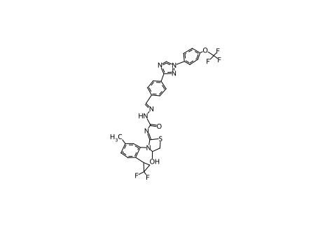 Cc1ccc(C2CC2(F)F)c(N2/C(=N/C(=O)N/N=C/c3ccc(-c4ncn(-c5ccc(OC(F)(F)F)cc5)n4)cc3)SCC2O)c1